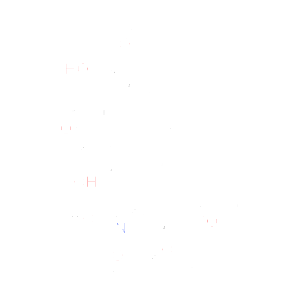 COc1ccc(CC2(C(=O)O)C=CC=C(C(=O)O)C2C)c([N+](=O)[O-])c1OC